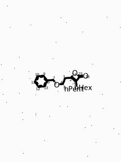 CCCCCCC1=C(C[C@H](CCCCC)OCc2ccccc2)OC1=O